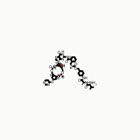 CC(C)[C@H](N)C(=O)N[C@@H](C)C(=O)Nc1ccc(COC(=O)N(C)Cc2ccccc2C(=O)Nc2nc3c(ncn3[C@@H]3O[C@@H]4CO[PH](=O)O[C@H]5C[C@H](Oc6ccncn6)C[C@@H]5CO[PH](=O)O[C@@H]3[C@@H]4O)c(=O)[nH]2)cc1